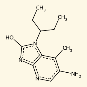 CCC(CC)n1c(O)nc2ncc(N)c(C)c21